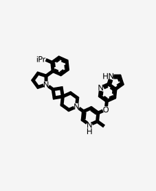 CC1NC=C(N2CCC3(CC2)CC(N2CCCC2c2ccccc2C(C)C)C3)C=C1Oc1cnc2[nH]ccc2c1